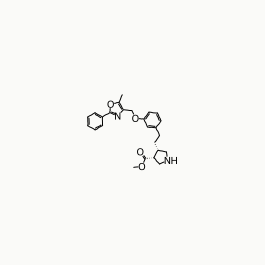 COC(=O)[C@H]1CNC[C@H]1CCc1cccc(OCc2nc(-c3ccccc3)oc2C)c1